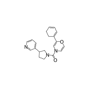 O=C(N1C=COC(C2=CC=CCC2)=C1)N1CCC(c2cccnc2)C1